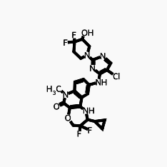 Cn1c(=O)c2c(c3cc(Nc4nc(N5CCC(F)(F)C(O)C5)ncc4Cl)ccc31)NC(C1CC1)C(F)(F)CO2